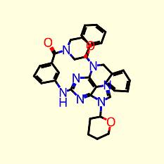 O=C(c1cccc(Nc2nc(N(Cc3ccccc3)Cc3ccccc3)c3ncn(C4CCCCO4)c3n2)c1)N1CCOCC1